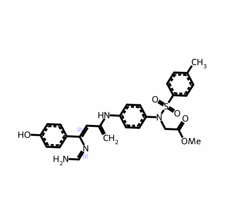 C=C(/C=C(\N=C/N)c1ccc(O)cc1)Nc1ccc(N(CC(=O)OC)S(=O)(=O)c2ccc(C)cc2)cc1